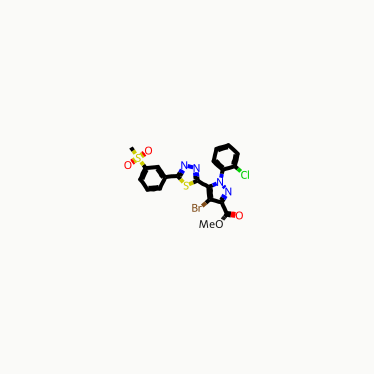 COC(=O)c1nn(-c2ccccc2Cl)c(-c2nnc(-c3cccc(S(C)(=O)=O)c3)s2)c1Br